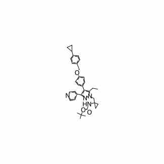 CCc1c(-c2ccc(OCc3ccc(C4CC4)cc3)cc2)c(-c2ccncc2)nn1CC1(NC(=O)OC(C)(C)C)CC1